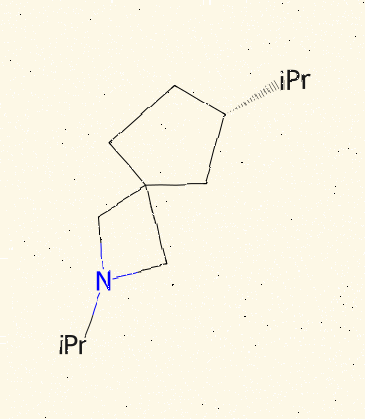 CC(C)[C@H]1CCC2(C1)CN(C(C)C)C2